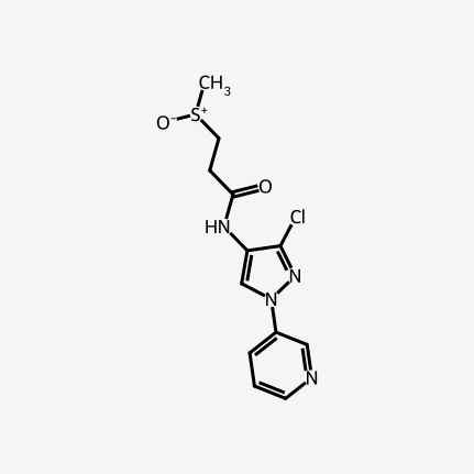 C[S+]([O-])CCC(=O)Nc1cn(-c2cccnc2)nc1Cl